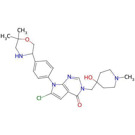 CN1CCC(O)(Cn2cnc3c(cc(Cl)n3-c3ccc(C4COC(C)(C)CN4)cc3)c2=O)CC1